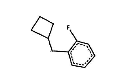 Fc1ccccc1[CH]C1CCC1